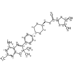 Cc1nc(N)c2c(n1)OC(C)(C)C(c1ccc([C@H]3CC[C@H](CCC(=O)N4C[C@@H](O)[C@@H](O)C4)CC3)cc1)=N2